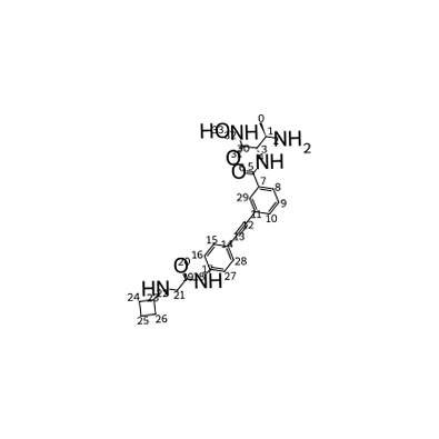 C[C@@H](N)[C@H](NC(=O)c1cccc(C#Cc2ccc(NC(=O)CNC3CCC3)cc2)c1)C(=O)NO